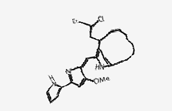 CCC(Cl)CC1CCCCCCc2cc1c(/C=C1/N=C(c3ccc[nH]3)C=C1OC)[nH]2